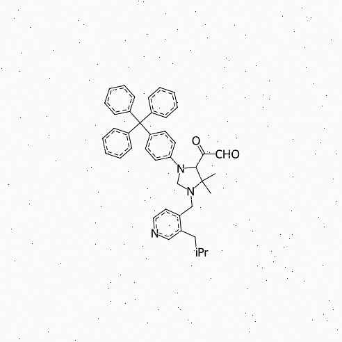 CC(C)Cc1cnccc1CN1CN(c2ccc(C(c3ccccc3)(c3ccccc3)c3ccccc3)cc2)C(C(=O)C=O)C1(C)C